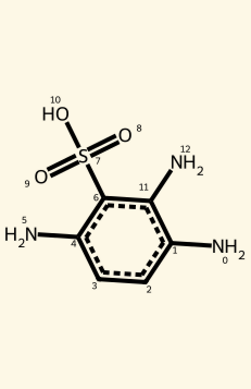 Nc1ccc(N)c(S(=O)(=O)O)c1N